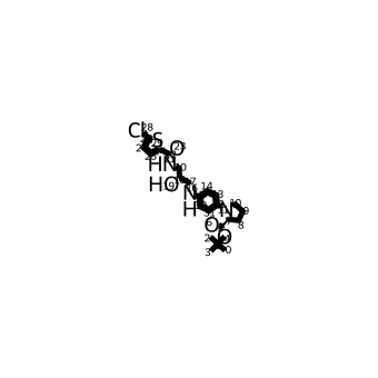 CC(C)(C)OC(=O)[C@@H]1CCCN1c1ccc(NCC(O)CNC(=O)c2ccc(Cl)s2)cc1